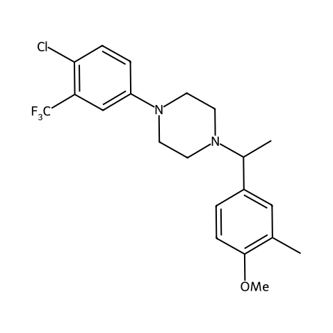 COc1ccc(C(C)N2CCN(c3ccc(Cl)c(C(F)(F)F)c3)CC2)cc1C